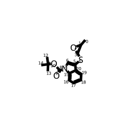 CC1OC1Sc1cn(C(=O)OC(C)(C)C)c2ccccc12